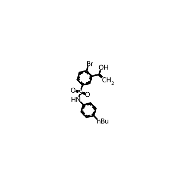 C=C(O)c1cc(S(=O)(=O)Nc2ccc(CCCC)cc2)ccc1Br